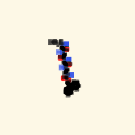 O=C(O)NCC(=O)NCC(=O)NCC(=O)NCCNC(=O)OCC1c2ccccc2-c2ccccc21